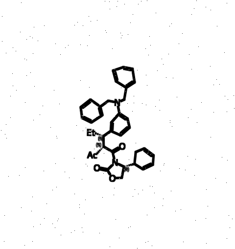 CC[C@H](c1cccc(N(Cc2ccccc2)Cc2ccccc2)c1)[C@@H](C(C)=O)C(=O)N1C(=O)OC[C@H]1C1C=CC=CC1